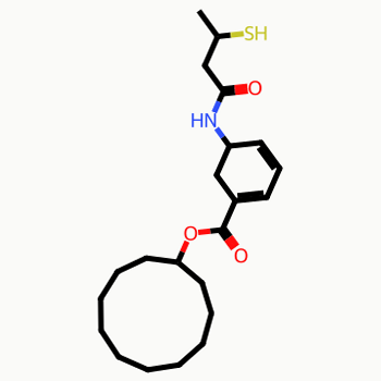 CC(S)CC(=O)NC1C=CC=C(C(=O)OC2CCCCCCCCCC2)C1